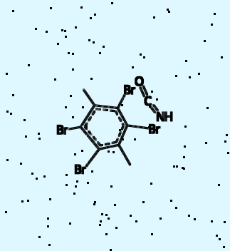 Cc1c(Br)c(Br)c(C)c(Br)c1Br.N=C=O